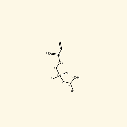 C=CC(=O)OC[N+](C)(C)CC(C)O